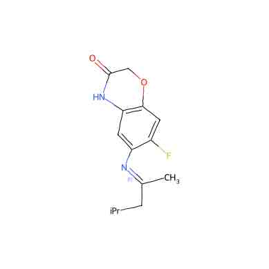 C/C(CC(C)C)=N\c1cc2c(cc1F)OCC(=O)N2